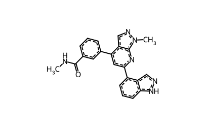 CNC(=O)c1cccc(-c2cc(-c3cccc4[nH]ncc34)nc3c2cnn3C)c1